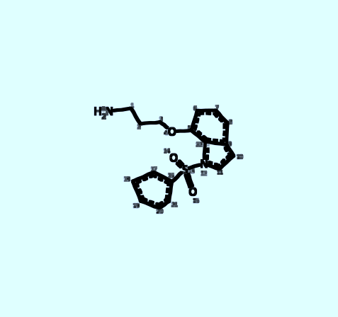 NCCCOc1cccc2ccn(S(=O)(=O)c3ccccc3)c12